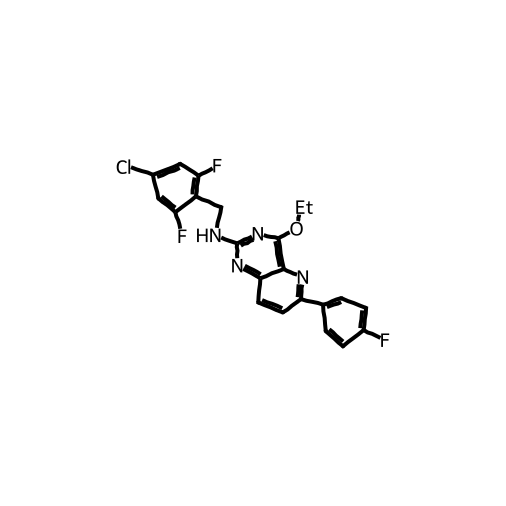 CCOc1nc(NCc2c(F)cc(Cl)cc2F)nc2ccc(-c3ccc(F)cc3)nc12